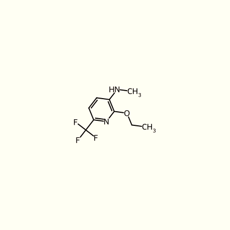 CCOc1nc(C(F)(F)F)ccc1NC